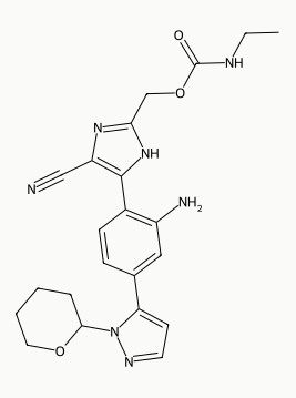 CCNC(=O)OCc1nc(C#N)c(-c2ccc(-c3ccnn3C3CCCCO3)cc2N)[nH]1